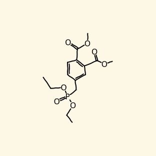 CCOP(=O)(Cc1ccc(C(=O)OC)c(C(=O)OC)c1)OCC